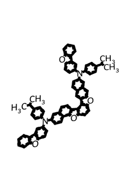 CC(C)c1ccc(N(c2ccc3cc4c(cc3c2)oc2ccc3oc5c6ccc(N(c7ccc(C(C)C)cc7)c7ccc8oc9ccccc9c8c7)cc6ccc5c3c24)c2ccc3oc4ccccc4c3c2)cc1